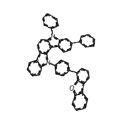 c1ccc(-c2ccc3c4c(ccc5c6ccccc6n(-c6ccc(-c7cccc8c7oc7ccccc78)cc6)c54)n(-c4ccccc4)c3c2)cc1